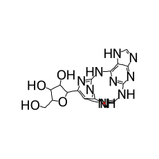 OCC1OC(c2nc3nc4nc([nH]c24)Nc2nc(c4[nH]cnc4n2)N3)C(O)C1O